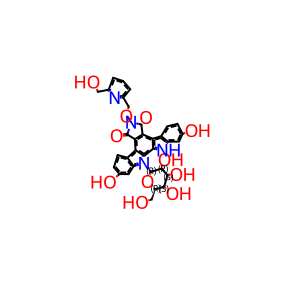 O=C1c2c(c3c4ccc(O)cc4n([C@@H]4O[C@H](CO)[C@@H](O)[C@H](O)[C@H]4O)c3c3[nH]c4cc(O)ccc4c23)C(=O)N1OCc1cccc(CO)n1